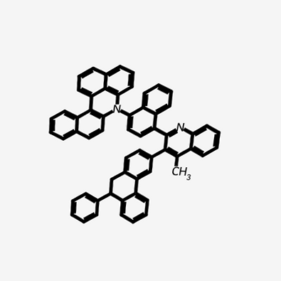 Cc1c(-c2ccc3c(c2)-c2ccccc2C(c2ccccc2)C3)c(-c2ccc(N3c4ccc5ccccc5c4-c4cccc5cccc3c45)c3ccccc23)nc2ccccc12